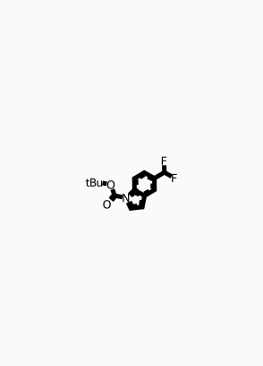 CC(C)(C)OC(=O)n1ccc2cc(C(F)F)ccc21